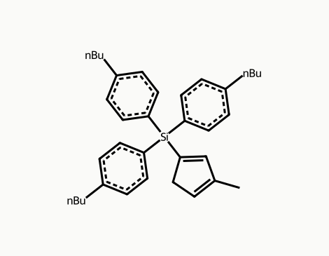 CCCCc1ccc([Si](C2=CC(C)=CC2)(c2ccc(CCCC)cc2)c2ccc(CCCC)cc2)cc1